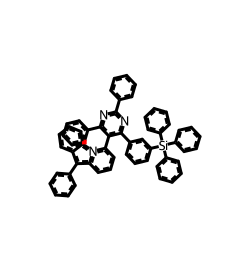 c1ccc(-c2nc(-c3ccccc3)c(-c3cccc4c(-c5ccccc5)c5ccccc5n34)c(-c3cccc([Si](c4ccccc4)(c4ccccc4)c4ccccc4)c3)n2)cc1